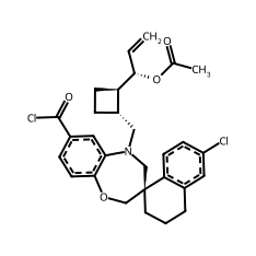 C=C[C@H](OC(C)=O)[C@@H]1CC[C@H]1CN1C[C@@]2(CCCc3cc(Cl)ccc32)COc2ccc(C(=O)Cl)cc21